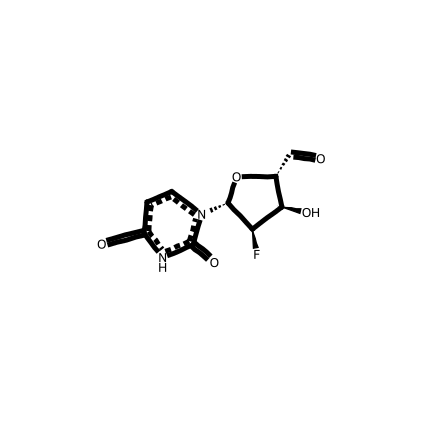 O=C[C@H]1O[C@@H](n2ccc(=O)[nH]c2=O)[C@H](F)[C@@H]1O